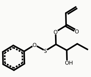 C=CC(=O)OC(SOc1ccccc1)C(O)CC